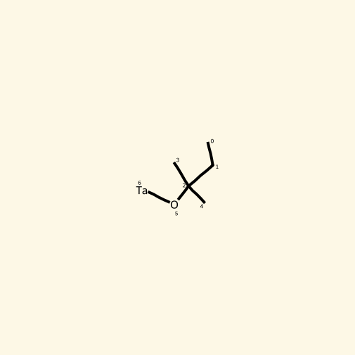 CCC(C)(C)[O][Ta]